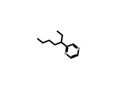 CCCCC(CC)c1cnccn1